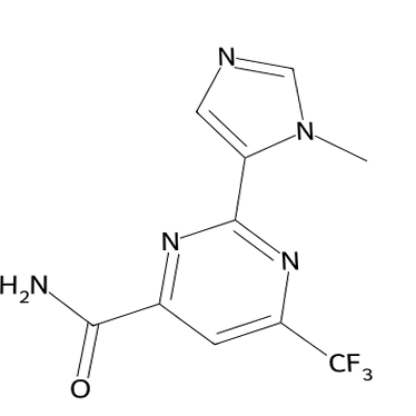 Cn1cncc1-c1nc(C(N)=O)cc(C(F)(F)F)n1